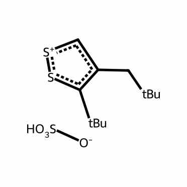 CC(C)(C)Cc1c[s+]sc1C(C)(C)C.O=S(=O)([O-])O